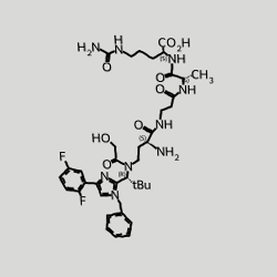 C[C@H](NC(=O)CCNC(=O)[C@@H](N)CCN(C(=O)CO)[C@@H](c1nc(-c2cc(F)ccc2F)cn1Cc1ccccc1)C(C)(C)C)C(=O)N[C@@H](CCCNC(N)=O)C(=O)O